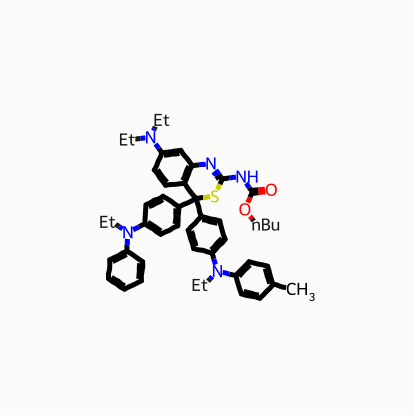 CCCCOC(=O)NC1=Nc2cc(N(CC)CC)ccc2C(c2ccc(N(CC)c3ccccc3)cc2)(c2ccc(N(CC)c3ccc(C)cc3)cc2)S1